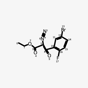 CCOC(=O)C([N+]#N)C(=O)c1cc(Br)ccc1F